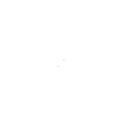 [S]=[Mo].[S]=[Mo]=[S]